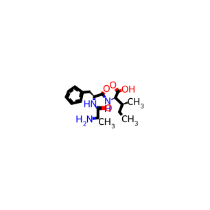 CC[C@H](C)[C@H](NC(=O)[C@H](Cc1ccccc1)NC(=O)[C@H](C)N)C(=O)O